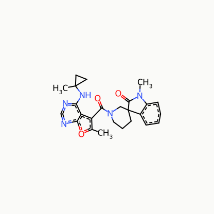 Cc1oc2ncnc(NC3(C)CC3)c2c1C(=O)N1CCCC2(C1)C(=O)N(C)c1ccccc12